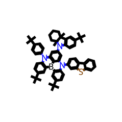 CC(C)(C)c1ccc(N2c3ccc(C(C)(C)C)cc3B3c4cc(C(C)(C)C)ccc4N(c4ccc5c(c4)sc4ccccc45)c4cc(N5c6ccc(C(C)(C)C)cc6C6(C)CCCCC56C)cc2c43)cc1